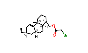 C=C[C@@]1(C)CC=C2[C@@H](CC[C@@H]3[C@](C)(COC(=O)CBr)CCC[C@@]23C)C1